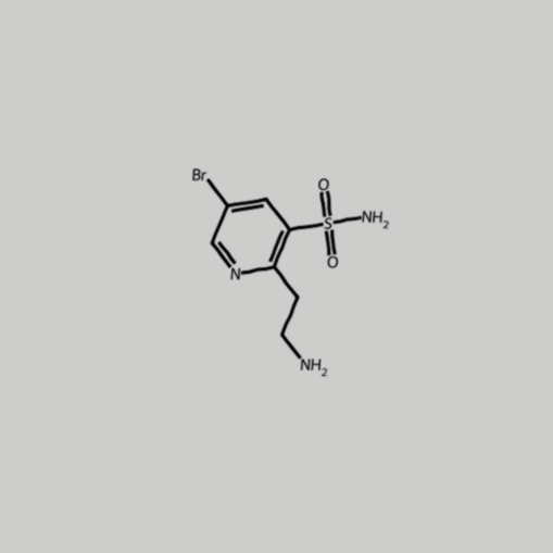 NCCc1ncc(Br)cc1S(N)(=O)=O